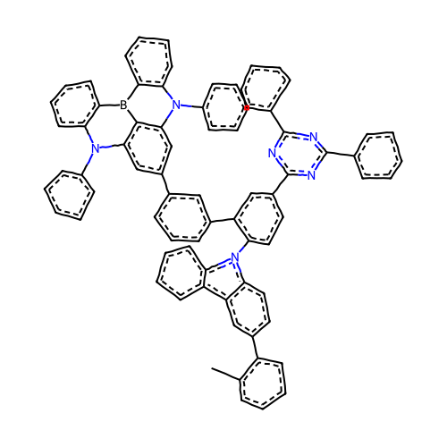 Cc1ccccc1-c1ccc2c(c1)c1ccccc1n2-c1ccc(-c2nc(-c3ccccc3)nc(-c3ccccc3)n2)cc1-c1cccc(-c2cc3c4c(c2)N(c2ccccc2)c2ccccc2B4c2ccccc2N3c2ccccc2)c1